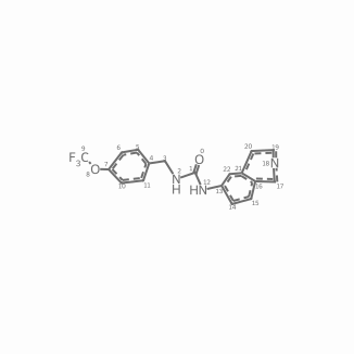 O=C(NCc1ccc(OC(F)(F)F)cc1)Nc1ccc2cnccc2c1